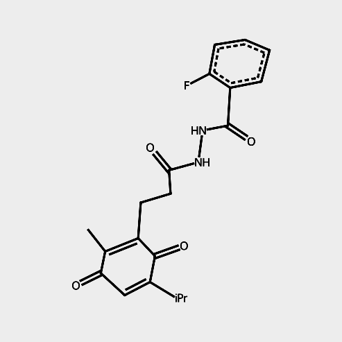 CC1=C(CCC(=O)NNC(=O)c2ccccc2F)C(=O)C(C(C)C)=CC1=O